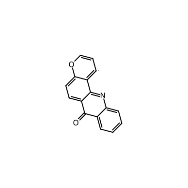 O=c1c2ccccc2nc2c1ccc1occ[c]c12